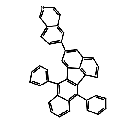 c1ccc(-c2c3c(c(-c4ccccc4)c4ccccc24)-c2cc(-c4ccc5cnccc5c4)cc4cccc-3c24)cc1